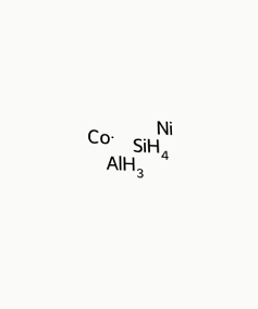 [AlH3].[Co].[Ni].[SiH4]